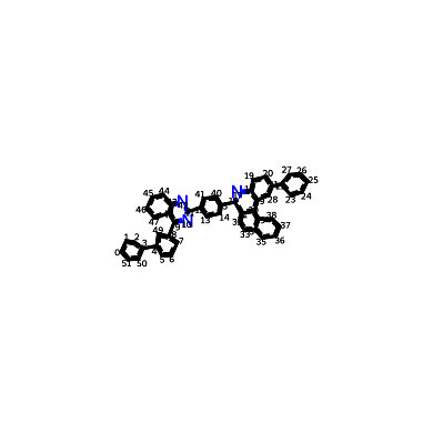 c1ccc(-c2cccc(-c3nc(-c4ccc(-c5nc6ccc(-c7ccccc7)cc6c6c5ccc5ccccc56)cc4)nc4ccccc34)c2)cc1